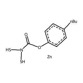 CCCCc1ccc(OC(=O)N(S)S)cc1.[Zn]